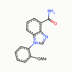 COc1ccccc1-n1cnc2c(C(N)=O)cccc21